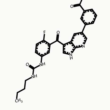 CCCCNC(=O)Nc1ccc(F)c(C(=O)c2c[nH]c3ncc(-c4cccc(C(N)=O)c4)cc23)c1